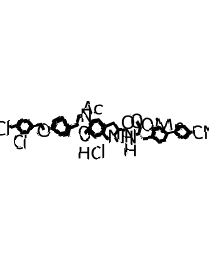 COC(=O)[C@H](Cc1ccc(-c2ccc(C#N)cc2)cc1)NC(=O)C1Cc2cc3c(cc2CN1)OC(c1ccc(OCc2ccc(Cl)c(Cl)c2)cc1)CN3C(C)=O.Cl